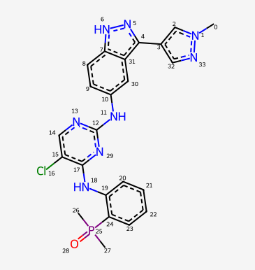 Cn1cc(-c2n[nH]c3ccc(Nc4ncc(Cl)c(Nc5ccccc5P(C)(C)=O)n4)cc23)cn1